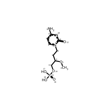 COC(CCn1ccc(N)nc1=O)COP(=O)(O)O